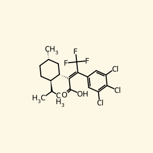 CC(C)[C@H]1CC[C@H](C)C[C@@H]1/C(C(=O)O)=C(/c1cc(Cl)c(Cl)c(Cl)c1)C(F)(F)F